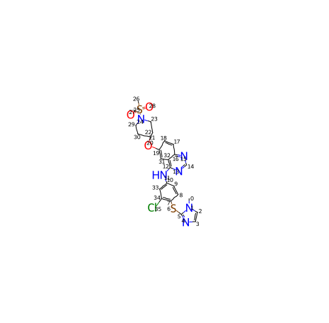 Cn1ccnc1Sc1ccc(Nc2ncnc3ccc(OC4CCN(S(C)(=O)=O)CC4)cc23)cc1Cl